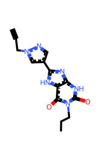 C#CCn1cc(-c2nc3[nH]c(=O)n(CCC)c(=O)c3[nH]2)cn1